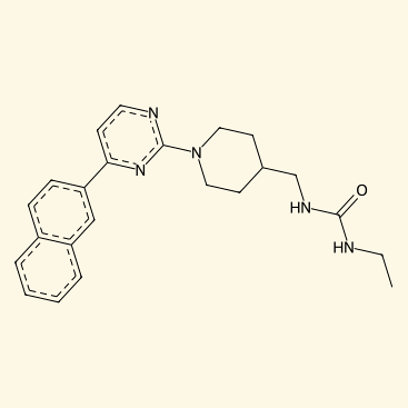 CCNC(=O)NCC1CCN(c2nccc(-c3ccc4ccccc4c3)n2)CC1